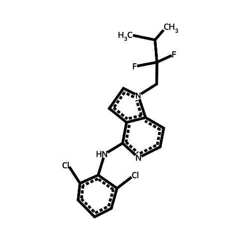 CC(C)C(F)(F)Cn1ccc2c(Nc3c(Cl)cccc3Cl)nccc21